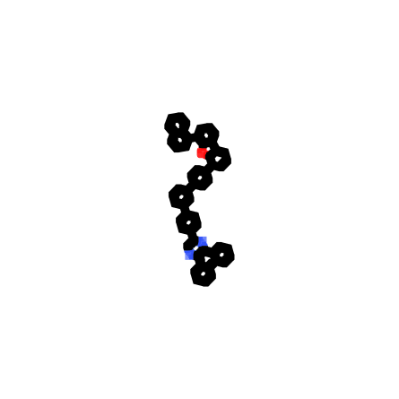 C1=CC(c2ccc(-c3cccc(-c4ccc(-c5cnc6c7ccccc7c7ccccc7c6n5)cc4)c3)cc2)C2Oc3c(cccc3-c3cccc4ccccc34)C2=C1